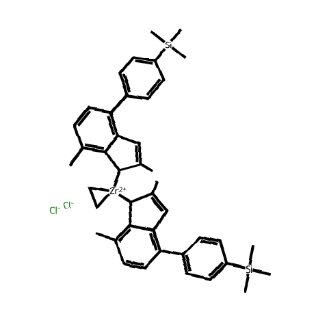 CC1=Cc2c(-c3ccc([Si](C)(C)C)cc3)ccc(C)c2[CH]1[Zr+2]1([CH]2C(C)=Cc3c(-c4ccc([Si](C)(C)C)cc4)ccc(C)c32)[CH2][CH2]1.[Cl-].[Cl-]